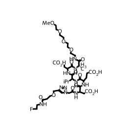 COCCOCCOCCOCCNC(=O)[C@H](C)NC(=O)C(CC(=O)O)NC(=O)C(NC(=O)C(CCC(=O)O)NC(=O)C(CC(=O)O)NC(=O)Cn1cc(COCCC(=O)NCCF)nn1)C(C)C